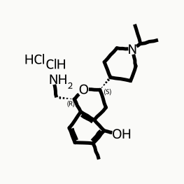 Cc1ccc2c(c1O)C[C@@H](C1CCN(C(C)C)CC1)O[C@H]2CN.Cl.Cl